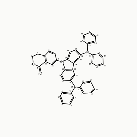 O=C1OCCc2ccc(-n3c4ccc(N(c5ccccc5)c5ccccc5)cc4c4cc(N(c5ccccc5)c5ccccc5)ccc43)cc21